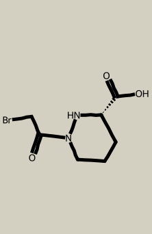 O=C(O)[C@@H]1CCCN(C(=O)CBr)N1